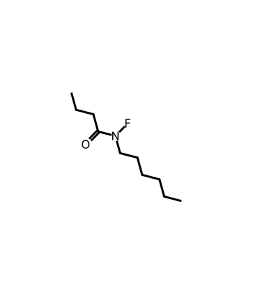 CCCCCCN(F)C(=O)CCC